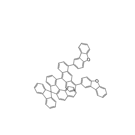 c1ccc2c(c1)-c1ccccc1C21c2cccc(-c3c4cccc(-c5ccc6oc7ccccc7c6c5)c4cc4c(-c5ccc6oc7ccccc7c6c5)cccc34)c2-c2c1ccc1ccccc21